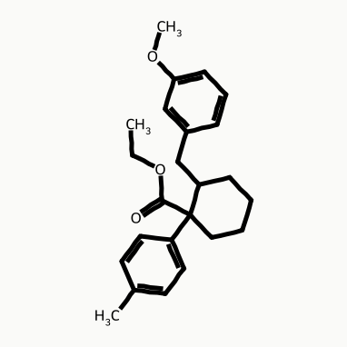 CCOC(=O)C1(c2ccc(C)cc2)CCCCC1Cc1cccc(OC)c1